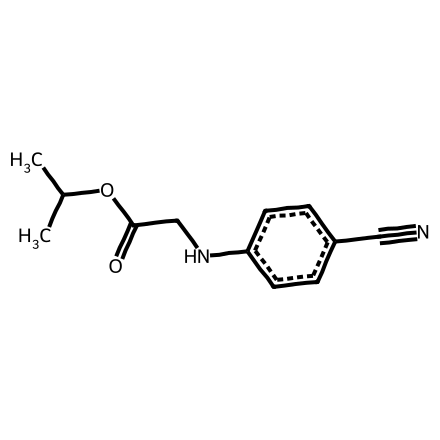 CC(C)OC(=O)CNc1ccc(C#N)cc1